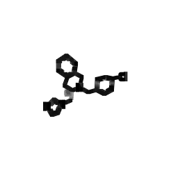 Clc1ccc(CN2Cc3ccccc3C[C@H]2Cn2ccnc2)cc1